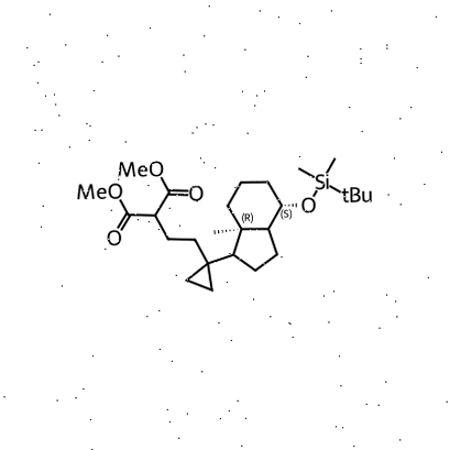 COC(=O)C(CCC1(C2CCC3[C@@H](O[Si](C)(C)C(C)(C)C)CCC[C@@]32C)CC1)C(=O)OC